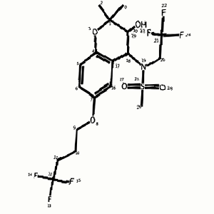 CC1(C)Oc2ccc(OCCCC(F)(F)F)cc2C(N(CC(F)(F)F)S(C)(=O)=O)C1O